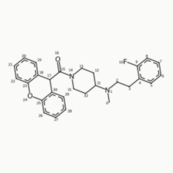 CN(CCc1ccccc1F)C1CCN(C(=O)C2c3ccccc3Oc3ccccc32)CC1